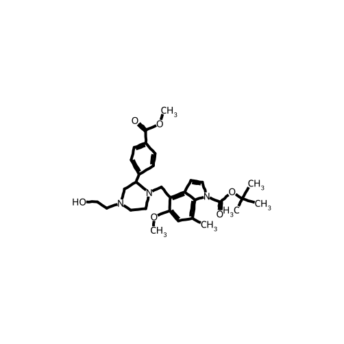 COC(=O)c1ccc(C2CN(CCO)CCN2Cc2c(OC)cc(C)c3c2ccn3C(=O)OC(C)(C)C)cc1